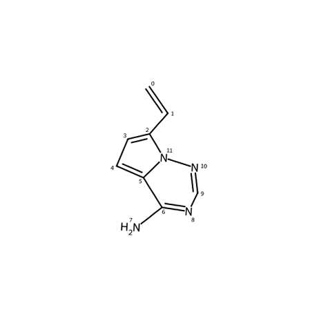 C=Cc1ccc2c(N)ncnn12